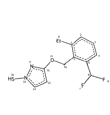 CCc1cccc(C(F)F)c1COc1ccn(S)n1